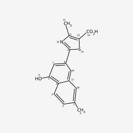 Cc1ccc2c(O)cc(-c3nc(C)c(C(=O)O)s3)cc2c1